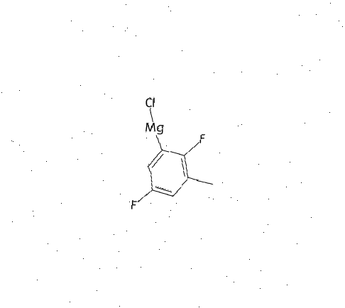 Cc1cc(F)c[c]([Mg][Cl])c1F